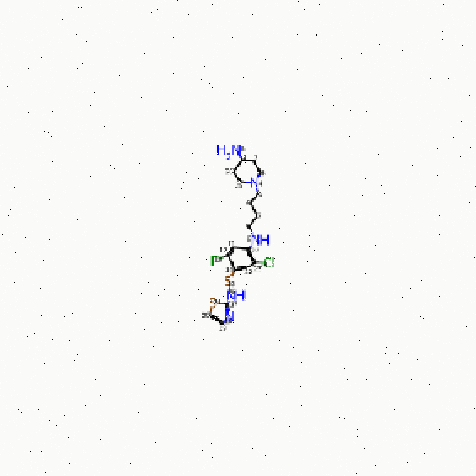 NC1CCN(CCCCNc2cc(F)c(SNc3nccs3)cc2Cl)CC1